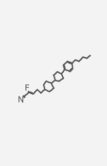 CCCCCc1ccc(C2CCC(C3CCC(CCC=C(F)C#N)CC3)CC2)cc1